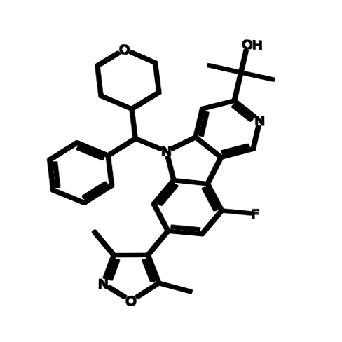 Cc1noc(C)c1-c1cc(F)c2c3cnc(C(C)(C)O)cc3n(C(c3ccccc3)C3CCOCC3)c2c1